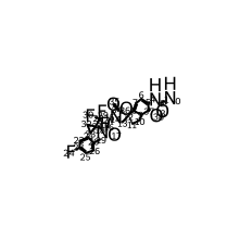 CNC(=O)NC1=CC=C2C(CC[C@]23CN(CC(=O)N(Cc2ccc(F)cc2)C2(C(F)(F)F)CC2)C(=O)O3)C1=O